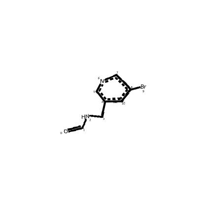 O=CNCc1cncc(Br)c1